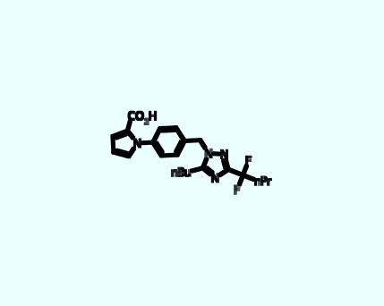 CCCCc1nc(C(F)(F)CCC)nn1Cc1ccc(-n2cccc2C(=O)O)cc1